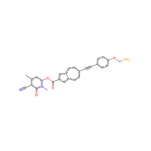 Cc1cc(OC(=O)c2cc3ccc(C#Cc4ccc(OCP)cc4)ccc-3c2)n(C)c(=O)c1C#N